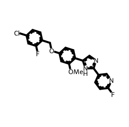 COc1cc(OCc2ccc(Cl)cc2F)ccc1-c1cnc(-c2ccc(F)nc2)[nH]1